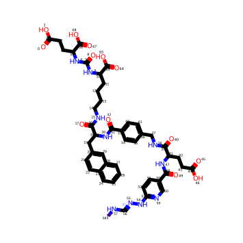 O=C(O)CCC(NC(=O)NC(CCCCNC(=O)C(Cc1ccc2ccccc2c1)NC(=O)c1ccc(CNC(=O)C(CCC(=O)O)NC(=O)c2ccc(N/N=C/NI)nc2)cc1)C(=O)O)C(=O)O